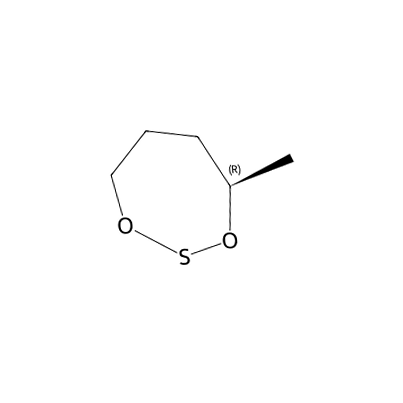 C[C@@H]1CCCOSO1